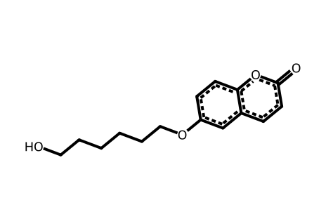 O=c1ccc2cc(OCCCCCCO)ccc2o1